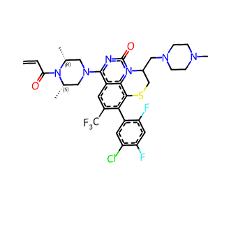 C=CC(=O)N1[C@H](C)CN(c2nc(=O)n3c4c(c(-c5cc(Cl)c(F)cc5F)c(C(F)(F)F)cc24)SCC3CN2CCN(C)CC2)C[C@@H]1C